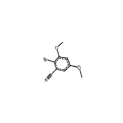 COc1cc(C#N)c(Br)c(OC)c1